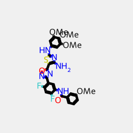 COc1cccc(C(=O)Nc2cc(-c3noc(-c4sc(Nc5cc(OC)c(OC)c(OC)c5)nc4N)n3)c(F)cc2F)c1